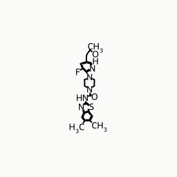 Cc1cc2nc(NC(=O)N3CCN(c4ncc(C[C@H](C)O)cc4F)CC3)sc2cc1C